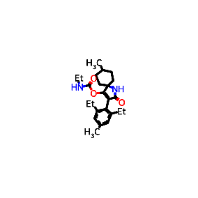 CCNC(=O)OC1=C(c2c(CC)cc(C)cc2CC)C(=O)NC12CCC(C)CC2